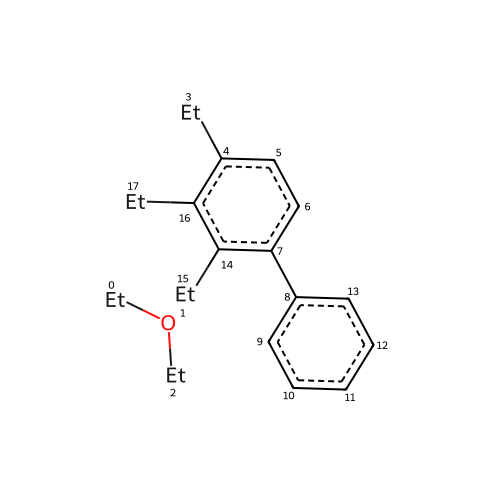 CCOCC.CCc1ccc(-c2ccccc2)c(CC)c1CC